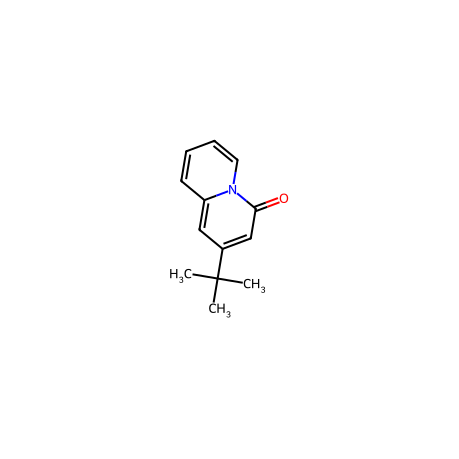 CC(C)(C)c1cc(=O)n2ccccc2c1